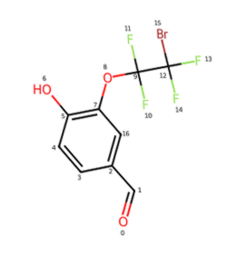 O=Cc1ccc(O)c(OC(F)(F)C(F)(F)Br)c1